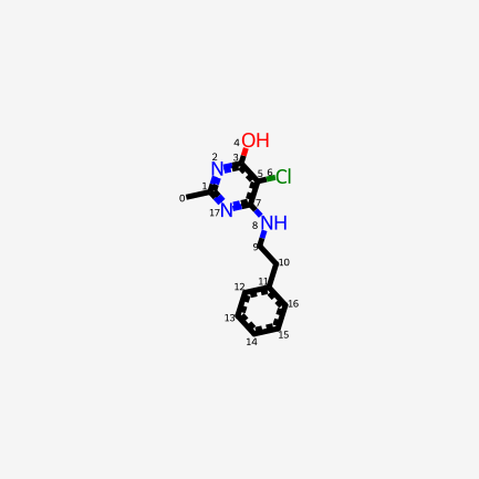 Cc1nc(O)c(Cl)c(NCCc2ccccc2)n1